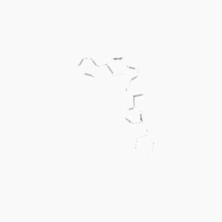 O=C(Nc1cnc2ccc(-c3ccccc3C(F)(F)F)nn12)c1cccc(CN2CCOCC2)n1